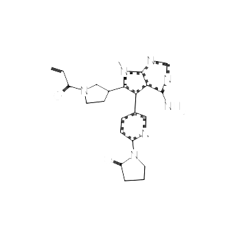 C=CC(=O)N1CCC(c2c(-c3ccc(N4CCCC4=O)nc3)c3c(N)ncnc3n2C)C1